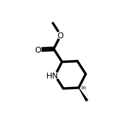 COC(=O)C1CC[C@@H](C)CN1